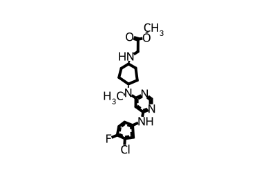 COC(=O)CN[C@H]1CC[C@H](N(C)c2cc(Nc3ccc(F)c(Cl)c3)ncn2)CC1